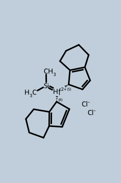 C[Si](C)=[Hf+2]([C@@H]1C=CC2=C1CCCC2)[C@H]1C=CC2=C1CCCC2.[Cl-].[Cl-]